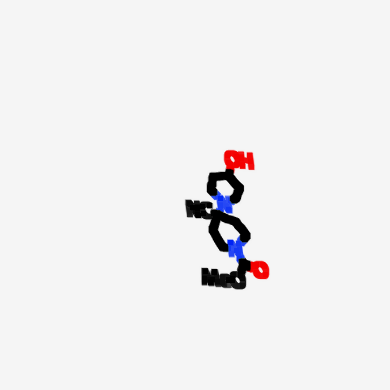 COC(=O)N1CCC(C#N)(N2CCC(O)CC2)CC1